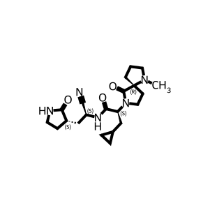 CN1CCC[C@]12CCN([C@@H](CC1CC1)C(=O)N[C@H](C#N)C[C@@H]1CCNC1=O)C2=O